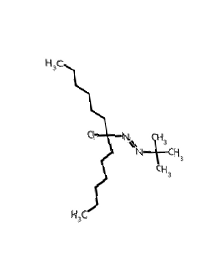 CCCCCCC(Cl)(CCCCCC)N=NC(C)(C)C